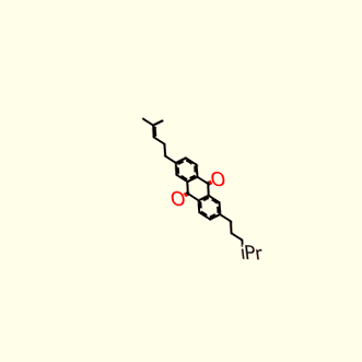 CC(C)=CCCc1ccc2c(c1)C(=O)c1ccc(CCCC(C)C)cc1C2=O